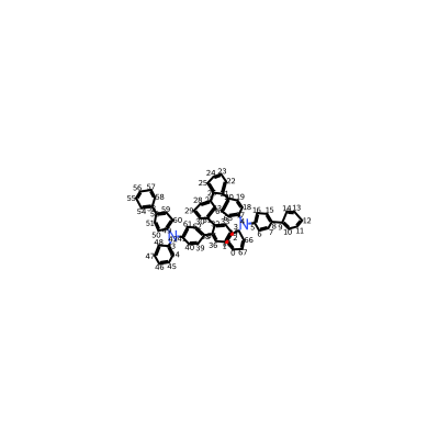 C1=CCC(N(c2ccc(-c3ccccc3)cc2)c2ccc(-c3ccccc3-c3cccc(-c4ccccc4-c4ccc(N(c5ccccc5)c5ccc(-c6ccccc6)cc5)cc4)c3)cc2)C=C1